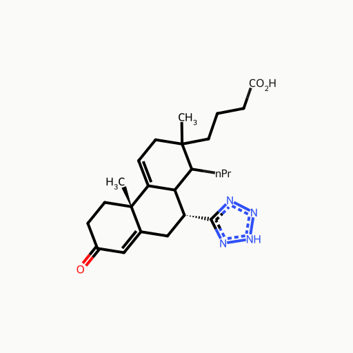 CCCC1C2C(=CCC1(C)CCCC(=O)O)[C@@]1(C)CCC(=O)C=C1C[C@H]2c1nn[nH]n1